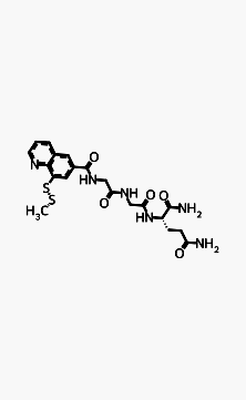 CSSc1cc(C(=O)NCC(=O)NCC(=O)N[C@@H](CCC(N)=O)C(N)=O)cc2cccnc12